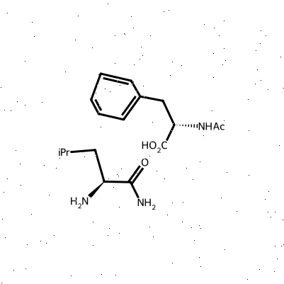 CC(=O)N[C@@H](Cc1ccccc1)C(=O)O.CC(C)C[C@H](N)C(N)=O